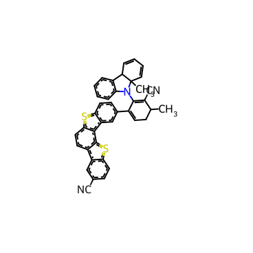 CC1CC=C(c2ccc3sc4ccc5c6cc(C#N)ccc6sc5c4c3c2)C(N2c3ccccc3C3C=CC=CC32C)=C1C#N